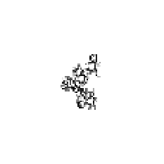 O=C(NN1CCOc2ccccc21)c1cnc2c(-c3cc(Cl)cc(Cl)c3)ccnc2c1N1CCOCC1